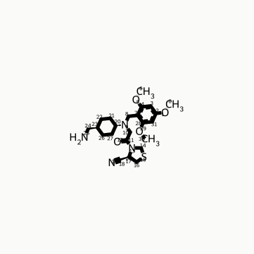 COc1cc(OC)c(CN(CC(=O)N2CSC[C@H]2C#N)[C@H]2CC[C@H](CN)CC2)c(OC)c1